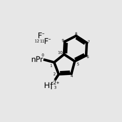 CCCC1[C]([Hf+2])=Cc2ccccc21.[F-].[F-]